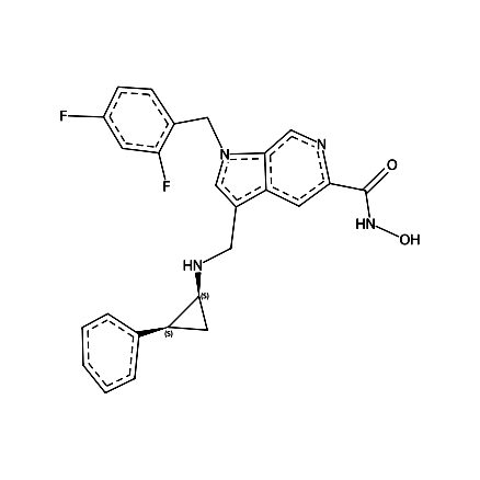 O=C(NO)c1cc2c(CN[C@H]3C[C@H]3c3ccccc3)cn(Cc3ccc(F)cc3F)c2cn1